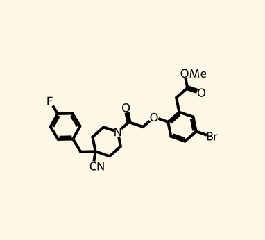 COC(=O)Cc1cc(Br)ccc1OCC(=O)N1CCC(C#N)(Cc2ccc(F)cc2)CC1